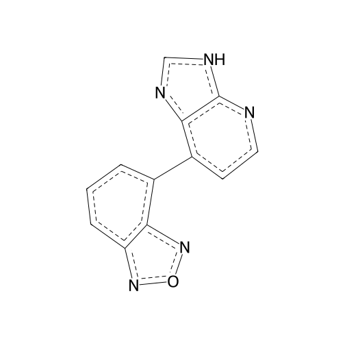 c1cc(-c2ccnc3[nH]cnc23)c2nonc2c1